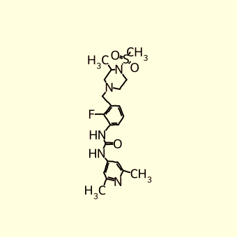 Cc1cc(NC(=O)Nc2cccc(CN3CCN(S(C)(=O)=O)C(C)C3)c2F)cc(C)n1